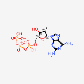 C[C@H]1[C@H](O)[C@@H](COP(=O)(O)OP(=O)(O)OP(=O)(O)O)O[C@H]1n1cnc2c(N)nc(N)nc21